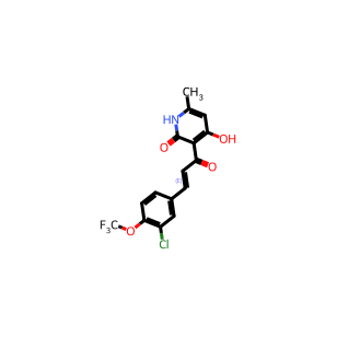 Cc1cc(O)c(C(=O)/C=C/c2ccc(OC(F)(F)F)c(Cl)c2)c(=O)[nH]1